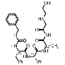 CC(C)C[C@H](NC(=O)OCc1ccccc1)C(=O)N[C@H](C(=O)N[C@@H](C)C(=O)NC(=O)CNCCO)C(C)C